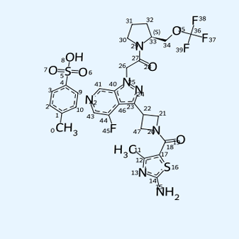 Cc1ccc(S(=O)(=O)O)cc1.Cc1nc(N)sc1C(=O)N1CC(c2nn(CC(=O)N3CCC[C@H]3COC(F)(F)F)c3cncc(F)c23)C1